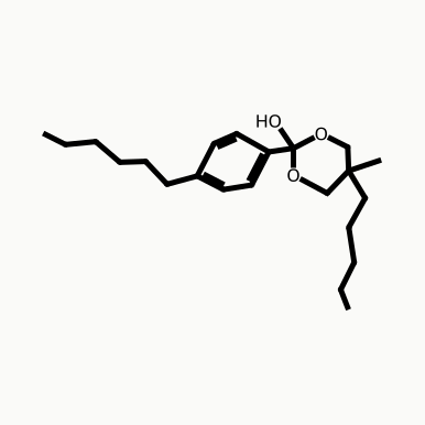 CCCCCCc1ccc(C2(O)OCC(C)(CCCCC)CO2)cc1